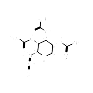 CC(=O)O[C@H]1[C@H](OC(C)=O)[C@H](OC(C)=O)CO[C@H]1N=C=O